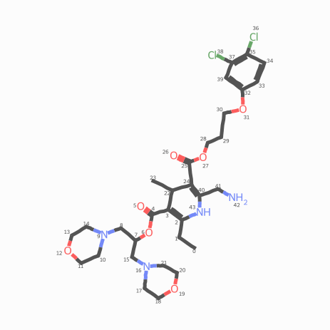 CCC1=C(C(=O)OC(CN2CCOCC2)CN2CCOCC2)C(C)C(C(=O)OCCCOc2ccc(Cl)c(Cl)c2)=C(CN)N1